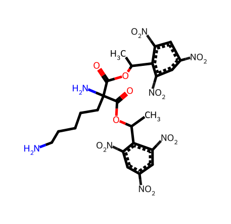 CC(OC(=O)C(N)(CCCCCN)C(=O)OC(C)c1c([N+](=O)[O-])cc([N+](=O)[O-])cc1[N+](=O)[O-])c1c([N+](=O)[O-])cc([N+](=O)[O-])cc1[N+](=O)[O-]